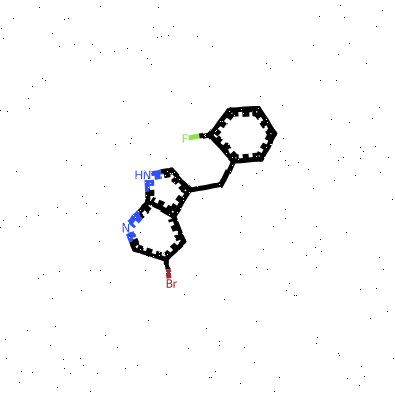 Fc1ccccc1Cc1c[nH]c2ncc(Br)cc12